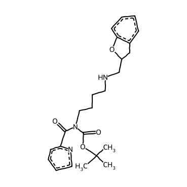 CC(C)(C)OC(=O)N(CCCCNCC1Cc2ccccc2O1)C(=O)c1ccccn1